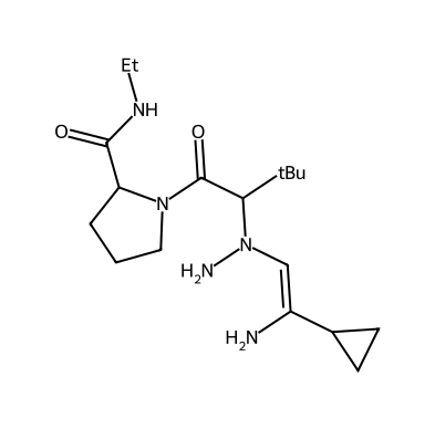 CCNC(=O)C1CCCN1C(=O)C(N(N)/C=C(\N)C1CC1)C(C)(C)C